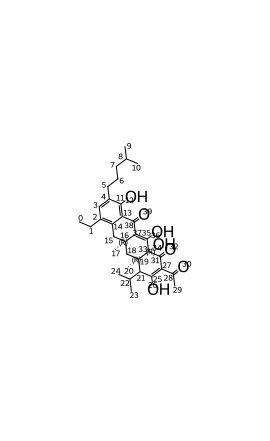 CCc1cc(CCCC(C)C)c(O)c2c1C[C@]1(C)C[C@]3(C)C(C(C)C)C(O)=C(C(C)=O)C(=O)[C@]3(O)C(O)=C1C2=O